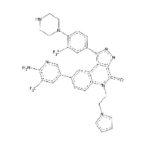 Nc1ncc(-c2ccc3c(c2)c2c(nnn2-c2ccc(N4CCNCC4)c(C(F)(F)F)c2)c(=O)n3CCn2cccc2)cc1C(F)(F)F